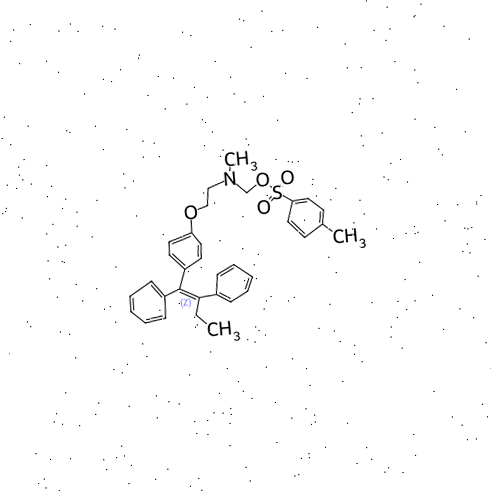 CC/C(=C(\c1ccccc1)c1ccc(OCCN(C)COS(=O)(=O)c2ccc(C)cc2)cc1)c1ccccc1